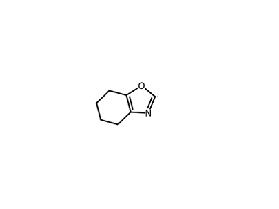 [c]1nc2c(o1)CCCC2